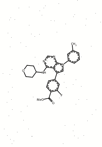 COC(=O)c1ccc(-c2cn(-c3cccc(C)c3)c3ncnc(NC4CCOCC4)c23)cc1F